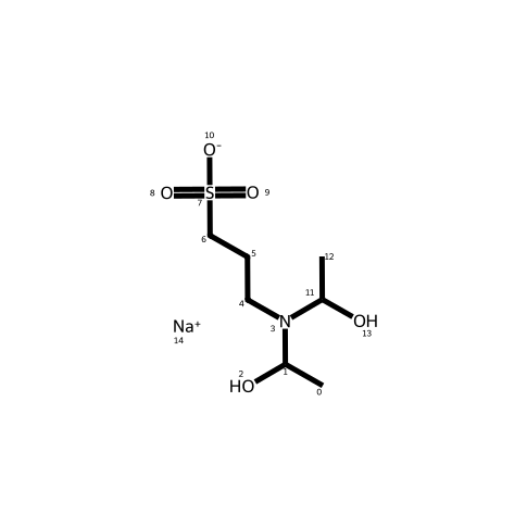 CC(O)N(CCCS(=O)(=O)[O-])C(C)O.[Na+]